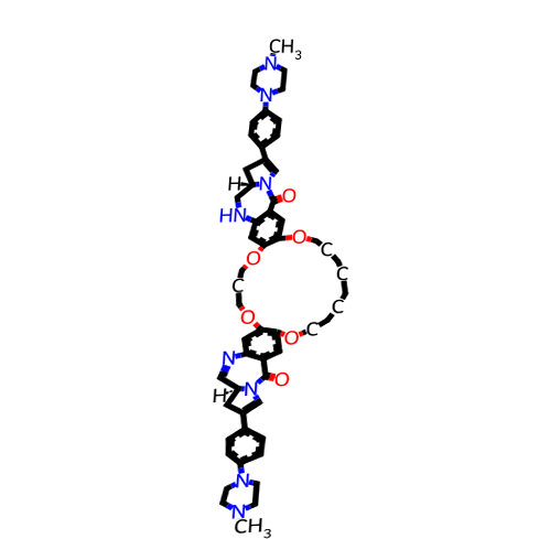 CN1CCN(c2ccc(C3=CN4C(=O)c5cc6c(cc5NC[C@@H]4C3)OCCCOc3cc4c(cc3OCCCCCCCCO6)C(=O)N3C=C(c5ccc(N6CCN(C)CC6)cc5)C[C@H]3C=N4)cc2)CC1